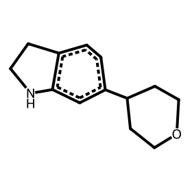 c1cc2c(cc1C1CCOCC1)NCC2